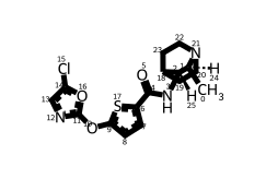 C[C@H]1[C@H](NC(=O)c2ccc(Oc3ncc(Cl)o3)s2)C2CCN1CC2